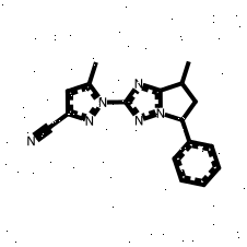 Cc1cc(C#N)nn1-c1nc2n(n1)C(c1ccccc1)CC2C